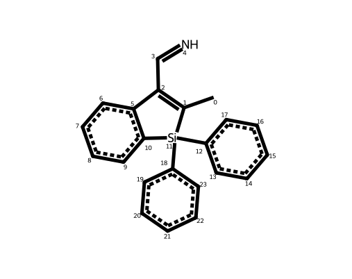 CC1=C(C=N)c2ccccc2[Si]1(c1ccccc1)c1ccccc1